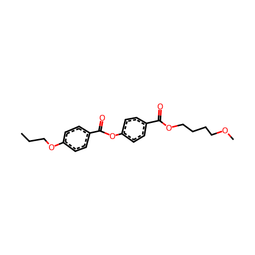 CCCOc1ccc(C(=O)Oc2ccc(C(=O)OCCCCOC)cc2)cc1